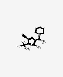 Cc1nc(C(C)(C)C)c(C#N)cc1C(C)N1CCCCC1